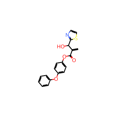 C=C(C(=O)Oc1ccc(Oc2ccccc2)cc1)C(O)c1nccs1